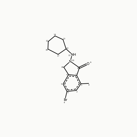 Cc1cc(Br)cc2c1C(=O)N(NC1CCCCC1)C2